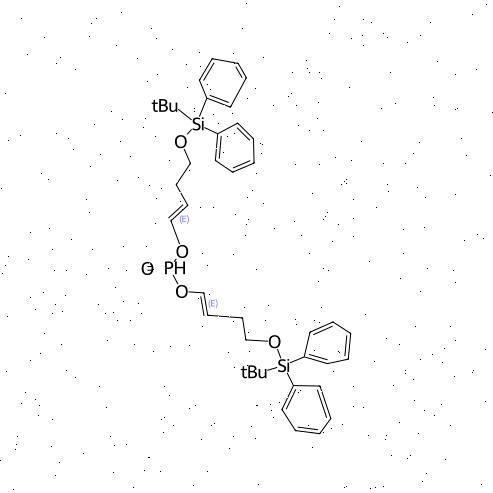 CC(C)(C)[Si](OCC/C=C/O[PH](=O)O/C=C/CCO[Si](c1ccccc1)(c1ccccc1)C(C)(C)C)(c1ccccc1)c1ccccc1